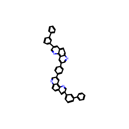 c1ccc(-c2cccc(-c3cnc4c(ccc5ncc(-c6ccc(-c7cnc8ccc9cc(-c%10cccc(-c%11ccccc%11)c%10)cnc9c8c7)cc6)cc54)c3)c2)cc1